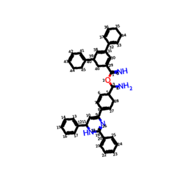 N=C(OC(N)C1C=CC(C2=CC(c3ccccc3)NC(c3ccccc3)=N2)=CC1)C1=CC(C2=CCCC=C2)=CC(C2=CC=CCC2)C1